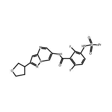 CCCS(=O)(=O)Nc1ccc(F)c(C(=O)Nc2cnc3cc(C4CCOC4)nn3c2)c1F